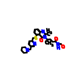 Cc1nc2cccc(SCc3ccc(CN4CCCCC4)cn3)c2c(=O)n1C(C)CCC(=O)NC=O